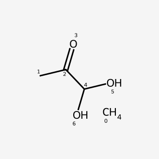 C.CC(=O)C(O)O